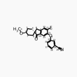 CO[C@H]1CC[C@]2(CC1)Cc1cc(F)c(Oc3cccc(C#N)c3)cc1C2=O